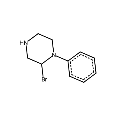 BrC1CNCCN1c1ccccc1